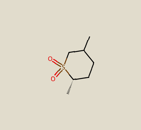 CC1CC[C@H](C)S(=O)(=O)C1